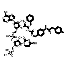 Nc1ccn([C@@H]2O[C@H](COP(=O)(O)O)[C@H](OP(=O)(O)OC[C@H]3O[C@@H](n4cnc5c(N)ncnc54)[C@@H](O)[C@H]3OC(=O)[C@H](Cc3ccccc3)NC(=O)OCc3ccc(NC(=O)Cc4ccc(F)cc4)cc3)[C@@H]2O)c(=O)n1